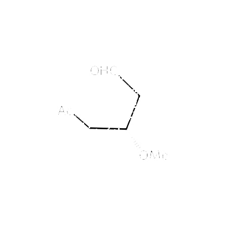 CO[C@@H](CC=O)CC(C)=O